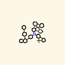 CC1(C)c2ccccc2-c2ccc(N(c3ccc(-c4ccc5ccccc5c4-c4ccc(-c5ccccc5)cc4)cc3)c3cccc4c3C3C=CC=CC3C43c4ccccc4-c4ccccc43)cc21